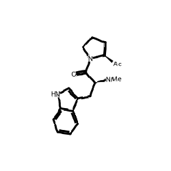 CN[C@@H](Cc1c[nH]c2ccccc12)C(=O)N1CCC[C@H]1C(C)=O